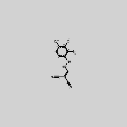 N#CC(C#N)=CNNc1ccc(Cl)c(Cl)c1Br